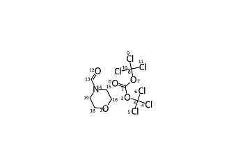 O=C(OC(Cl)(Cl)Cl)OC(Cl)(Cl)Cl.O=CN1CCOCC1